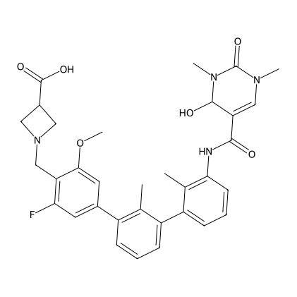 COc1cc(-c2cccc(-c3cccc(NC(=O)C4=CN(C)C(=O)N(C)C4O)c3C)c2C)cc(F)c1CN1CC(C(=O)O)C1